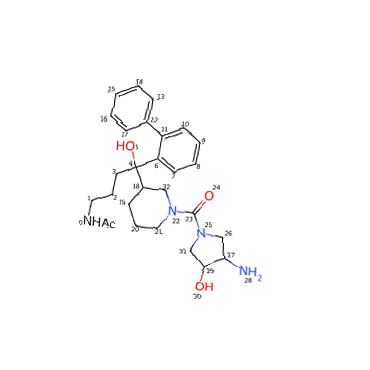 CC(=O)NCCCC(O)(c1ccccc1-c1ccccc1)C1CCCN(C(=O)N2CC(N)C(O)C2)C1